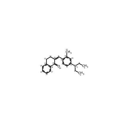 CCN(CC)c1ccc(C=C2CCc3ccccc3C2=O)c(C)c1